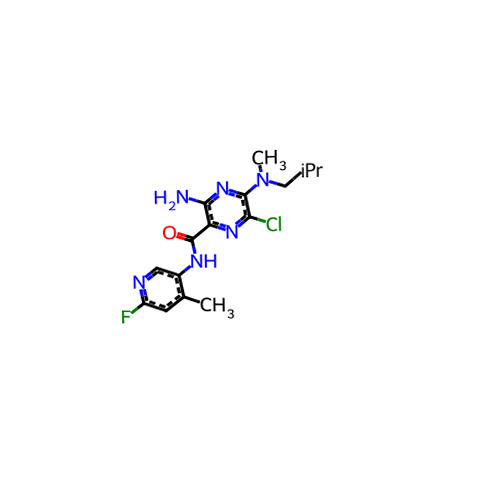 Cc1cc(F)ncc1NC(=O)c1nc(Cl)c(N(C)CC(C)C)nc1N